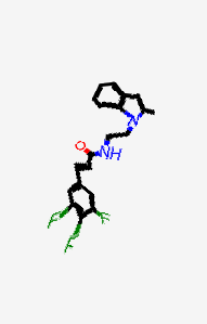 Cc1cc2ccccc2n1CCNC(=O)C=Cc1cc(F)c(F)c(F)c1